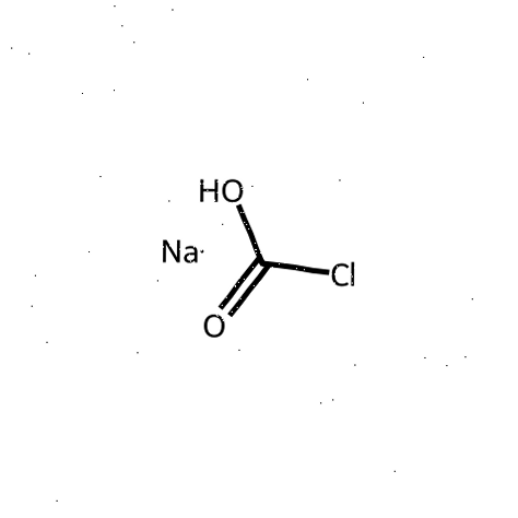 O=C(O)Cl.[Na]